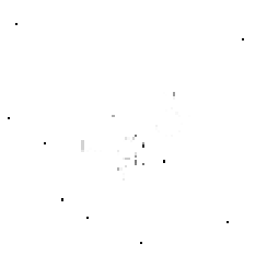 CCCCc1c(O)nn(-c2cccc(C)c2)c1C(C)C